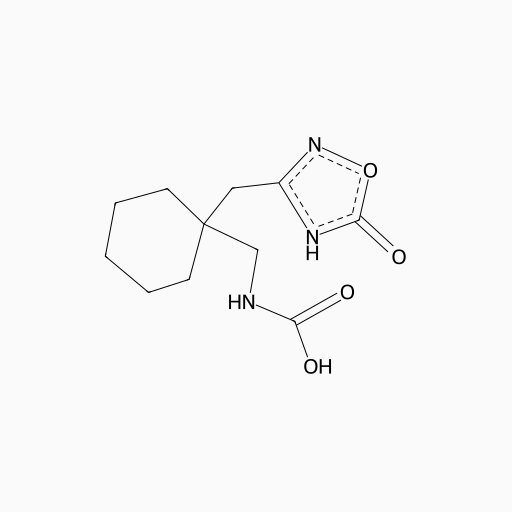 O=C(O)NCC1(Cc2noc(=O)[nH]2)CCCCC1